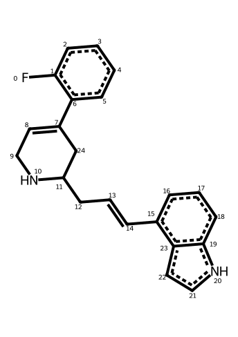 Fc1ccccc1C1=CCNC(CC=Cc2cccc3[nH]ccc23)C1